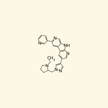 CCN1CCCC1Cn1cc(-c2cnc3[nH]c4cnc(-c5cccnc5)cc4c3c2)cn1